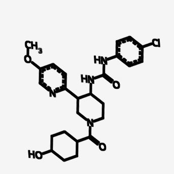 COc1ccc(C2CN(C(=O)C3CCC(O)CC3)CCC2NC(=O)Nc2ccc(Cl)cc2)nc1